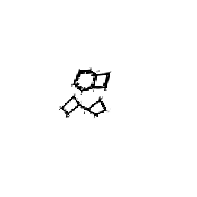 C1=Cc2ccccc21.C1CC(C2CCC2)C1